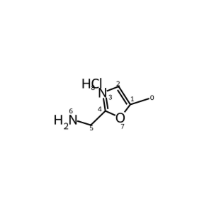 Cc1cnc(CN)o1.Cl